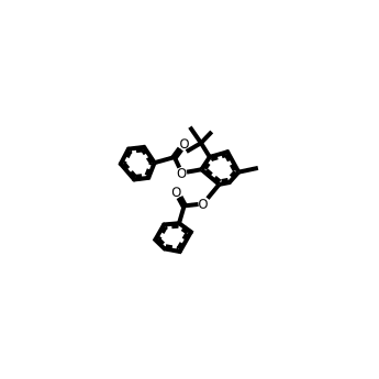 Cc1cc(OC(=O)c2ccccc2)c(OC(=O)c2ccccc2)c(C(C)(C)C)c1